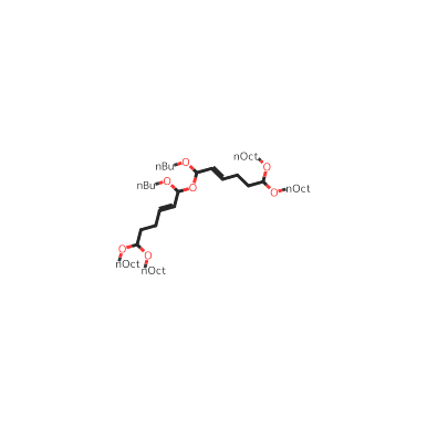 CCCCCCCCOC(CCC=CC(OCCCC)OC(C=CCCC(OCCCCCCCC)OCCCCCCCC)OCCCC)OCCCCCCCC